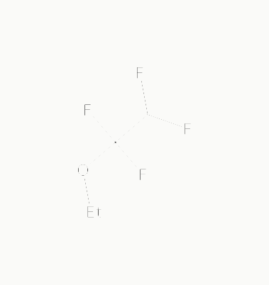 CCOC(F)(F)C(F)F